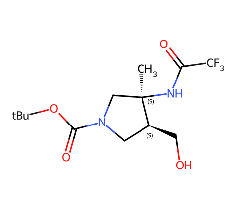 CC(C)(C)OC(=O)N1C[C@H](CO)[C@](C)(NC(=O)C(F)(F)F)C1